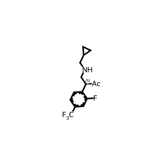 CC(=O)[C@H](CNCC1CC1)c1ccc(C(F)(F)F)cc1F